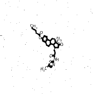 CCCCC(=O)Oc1ccc2c(c1)CCC1C2CC[C@]2(C)C(=O)C[C@@H](CCC(=O)Nc3ncc(C)s3)C12